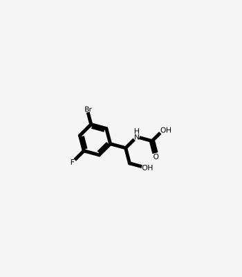 O=C(O)NC(CO)c1cc(F)cc(Br)c1